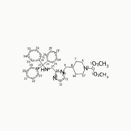 COC(OC)N1CCC(Cn2ccnc2CNC(c2ccccc2)(c2ccccc2)c2ccccc2)CC1